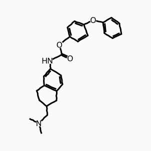 CN(C)CC1CCc2cc(NC(=O)Oc3ccc(Oc4ccccc4)cc3)ccc2C1